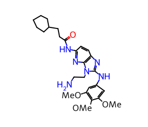 COc1cc(Nc2nc3ccc(NC(=O)CCC4CCCCC4)nc3n2CCN)cc(OC)c1OC